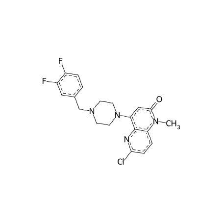 Cn1c(=O)cc(N2CCN(Cc3ccc(F)c(F)c3)CC2)c2nc(Cl)ccc21